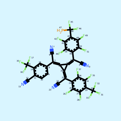 N#CC(=C1C(=C(\C#N)c2ccc(C#N)c(C(F)(F)F)c2)/C1=C(\C#N)c1c(F)c(F)c(C(F)(F)F)c(F)c1F)c1c(F)c(F)c(C(F)(F)P)c(F)c1F